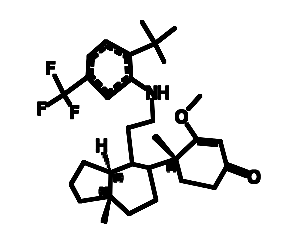 COC1=CC(=O)CC[C@]1(C)C1CC[C@]2(C)CCC[C@H]2C1CCNc1cc(C(F)(F)F)ccc1C(C)(C)C